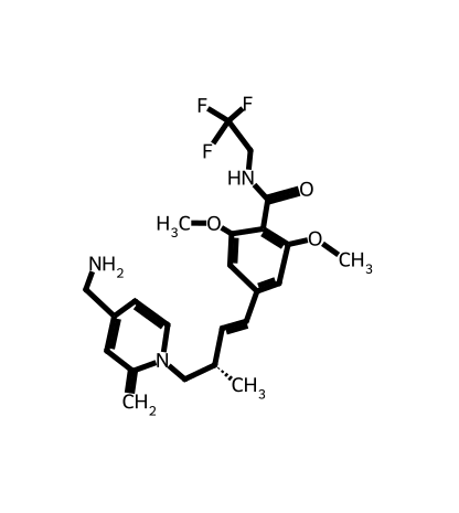 C=C1C=C(CN)C=CN1C[C@@H](C)/C=C/c1cc(OC)c(C(=O)NCC(F)(F)F)c(OC)c1